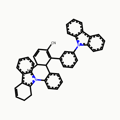 N#CC1=C(c2cccc(-n3c4ccccc4c4ccccc43)c2)C(c2ccccc2-n2c3c(c4ccccc42)C=CCC3)C(C#N)C=C1